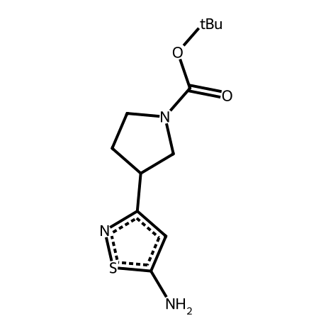 CC(C)(C)OC(=O)N1CCC(c2cc(N)sn2)C1